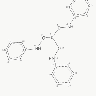 c1ccc(NOB(ONc2ccccc2)ONc2ccccc2)cc1